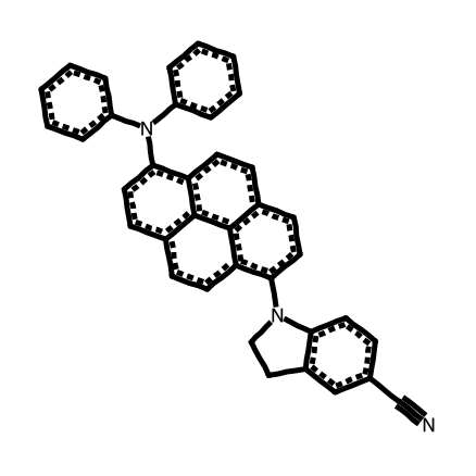 N#Cc1ccc2c(c1)CCN2c1ccc2ccc3c(N(c4ccccc4)c4ccccc4)ccc4ccc1c2c43